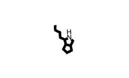 CCCCC1NCC2CCCC21